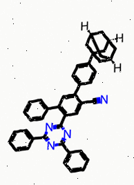 N#Cc1cc(-c2nc(-c3ccccc3)nc(-c3ccccc3)n2)c(-c2ccccc2)cc1-c1ccc(C23C[C@H]4C[C@@H](C2)C[C@@H](C3)C4)cc1